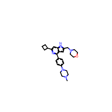 CN1CCN(c2ccc(-c3nc(C4CCC4)cc4[nH]c(CN5CCOCC5)cc34)cc2)CC1